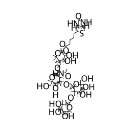 CC(=O)NC1(C)[C@@](C)(COC[C@]2(C)C(C)(C)O[C@](C)(OC(=O)CCCCC3SC[C@@H]4NC(=O)N[C@H]34)C(O)[C@@]2(C)O)OC(C)(CO)[C@@H](O)[C@@]1(C)COC[C@]1(C)OC(C)(CO)[C@](C)(O)[C@@](C)(O)C1(C)COC[C@]1(C)OC(C)(C)[C@@](C)(O)[C@](C)(O)C1(C)O